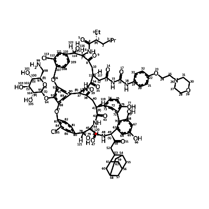 CC[C@H](CC(C)C)C(=O)N[C@H]1C(=O)C[C@@H](CC(=O)NC(=O)Nc2ccc(OCCN3CCOCC3)cc2)C(=O)N[C@H]2C(=O)C[C@H]3C(=O)N[C@H](C(=O)N[C@H](C(=O)CC4C5CC6CC(C5)CC4C6)c4cc(O)cc(O)c4-c4cc3ccc4O)[C@H](O)c3ccc(c(Cl)c3)Oc3cc2cc(c3O[C@@H]2O[C@H](CN)[C@@H](O)[C@H](O)[C@H]2O)Oc2ccc(cc2Cl)[C@H]1O